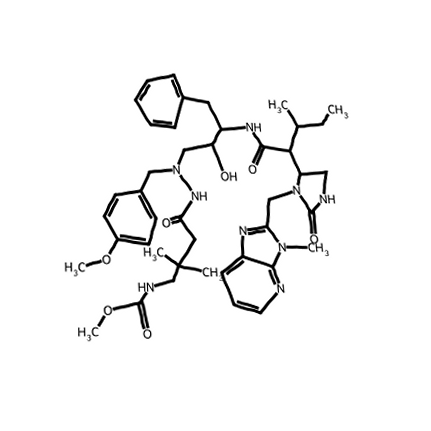 CCC(C)C(C(=O)NC(Cc1ccccc1)C(O)CN(Cc1ccc(OC)cc1)NC(=O)CC(C)(C)CNC(=O)OC)C1CNC(=O)N1Cc1nc2cccnc2n1C